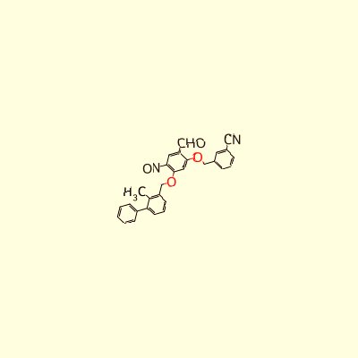 Cc1c(COc2cc(OCc3cccc(C#N)c3)c(C=O)cc2N=O)cccc1-c1ccccc1